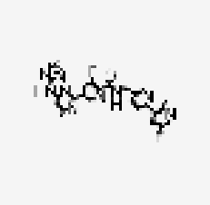 Cc1cc(Nc2ncsn2)nc(-c2cnc(C(=O)NCc3ccc(-c4cc(F)cnc4C)nc3)c(F)c2)n1